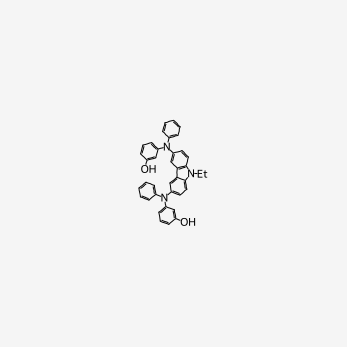 CCn1c2ccc(N(c3ccccc3)c3cccc(O)c3)cc2c2cc(N(c3ccccc3)c3cccc(O)c3)ccc21